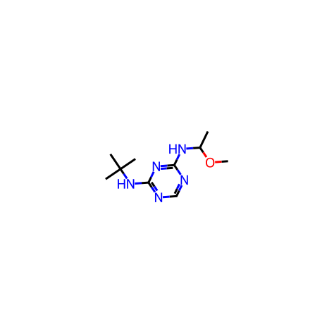 COC(C)Nc1ncnc(NC(C)(C)C)n1